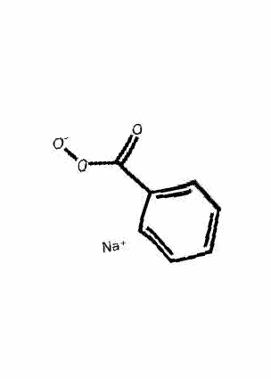 O=C(O[O-])c1ccccc1.[Na+]